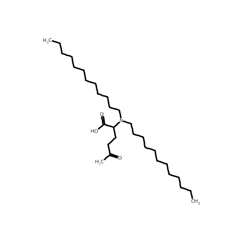 CCCCCCCCCCCCN(CCCCCCCCCCCC)C(CCC(C)=O)C(=O)O